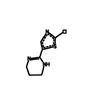 Clc1ncc(C2=NCCCN2)s1